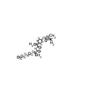 CN/C(C)=C\C(=O)Cc1ccc(N(C)C(=O)CC(=O)N(C)CCOCCCOC=O)cc1